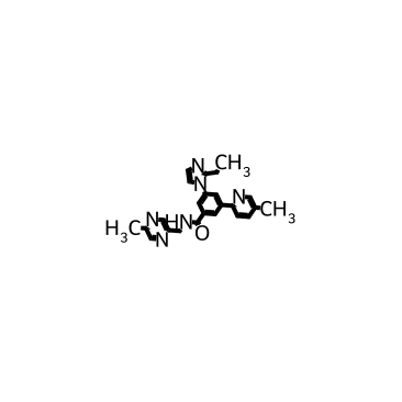 CCc1nccn1-c1cc(C(=O)NCc2cnc(C)cn2)cc(-c2ccc(C)cn2)c1